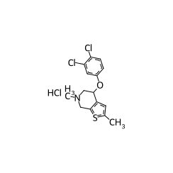 Cc1cc2c(s1)CN(C)CC2Oc1ccc(Cl)c(Cl)c1.Cl